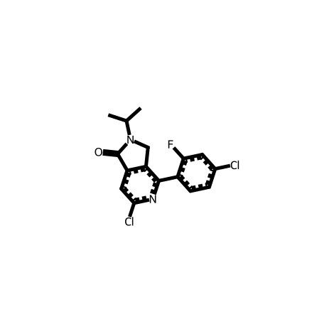 CC(C)N1Cc2c(cc(Cl)nc2-c2ccc(Cl)cc2F)C1=O